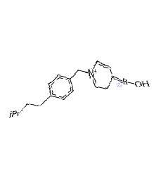 CC(C)CCc1ccc(C[N+]2=CC/C(=B/O)C=C2)cc1